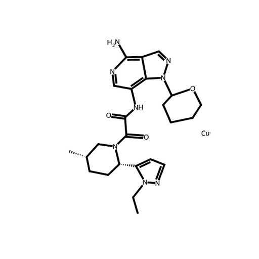 CCn1nccc1[C@@H]1CC[C@H](C)CN1C(=O)C(=O)Nc1cnc(N)c2cnn(C3CCCCO3)c12.[Cu]